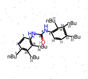 CCCCc1ccc(NC(=O)Nc2ccc(CCCC)c(CCCC)c2CCCC)c(CCCC)c1CCCC